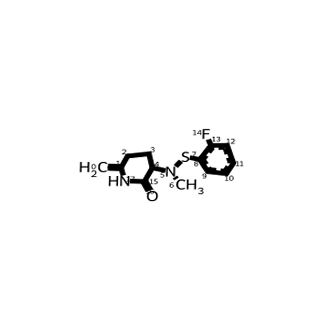 C=C1CCC(N(C)Sc2ccccc2F)C(=O)N1